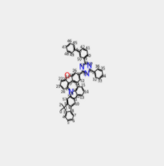 CC1(C)c2ccccc2-c2cc3c4ccccc4n(-c4cccc5oc6cc(-c7nc(-c8ccccc8)nc(-c8cccc(-c9ccccc9)c8)n7)ccc6c45)c3cc21